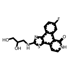 O=c1[nH]ccc2c3sc(NCC(O)CO)nc3c3ccc(F)cc3c12